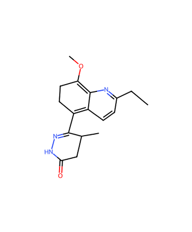 CCc1ccc2c(n1)=C(OC)CCC=2C1=NNC(=O)CC1C